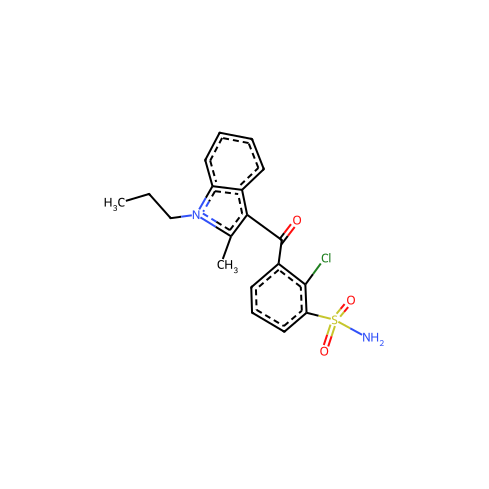 CCCn1c(C)c(C(=O)c2cccc(S(N)(=O)=O)c2Cl)c2ccccc21